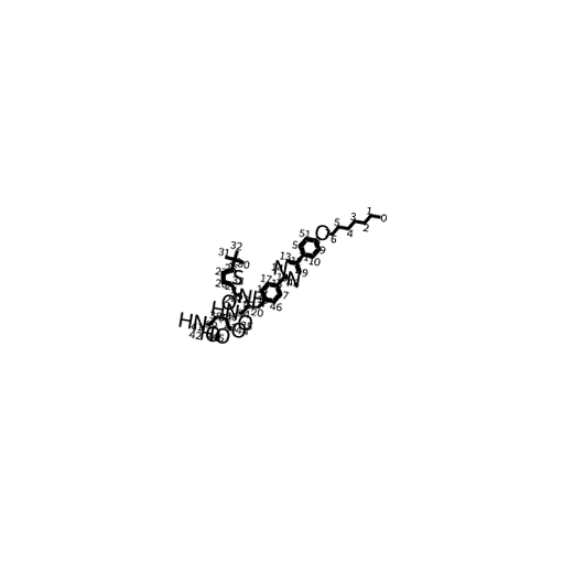 CCCCCCCOc1ccc(-c2cnc(-c3ccc(C[C@H](NC(=O)c4ccc(C(C)(C)C)s4)C(=O)N[C@H](CC(=O)NC)C(=O)O)cc3)nc2)cc1